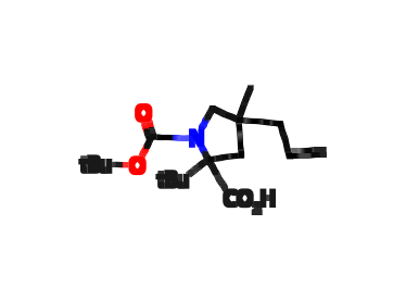 C=CCC1(C)CN(C(=O)OC(C)(C)C)C(C(=O)O)(C(C)(C)C)C1